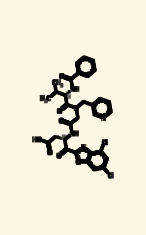 CC(C)[C@H](NC(=O)c1ccccc1)C(=O)N(CC(=O)N[C@@H](CC(=O)O)C(=O)c1nc2c(Cl)cc(Cl)cc2o1)Cc1cccnc1